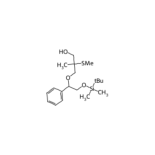 CSC(C)(CO)COC(CO[Si](C)(C)C(C)(C)C)c1ccccc1